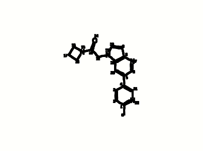 Cc1ccc(-c2cnc3ccn(CC(=O)N4CCC4)c3c2)cn1